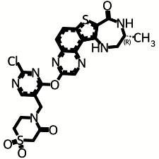 C[C@@H]1CNc2c(sc3ccc4nc(Oc5nc(Cl)ncc5CN5CCS(=O)(=O)CC5=O)cnc4c23)C(=O)N1